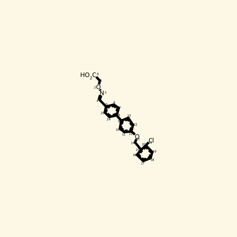 O=C(O)CO/N=C/c1ccc(-c2ccc(OCc3ccccc3Cl)cc2)cc1